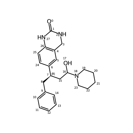 O=C1NCc2cc([C@H](Cc3ccccc3)CC(O)N3CCCCC3)ccc2N1